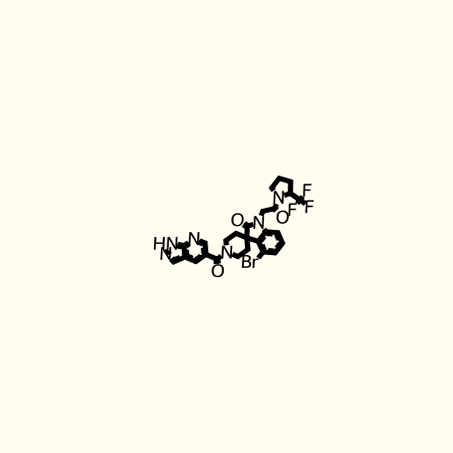 O=C(c1cnc2[nH]ncc2c1)N1CCC2(CC1)C(=O)N(CC(=O)N1CCCC1C(F)(F)F)c1cccc(Br)c12